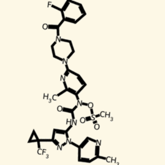 Cc1ccc(-n2nc(C3(C(F)(F)F)CC3)cc2NC(=O)N(OS(C)(=O)=O)c2ccc(N3CCN(C(=O)c4ccccc4F)CC3)nc2C)cn1